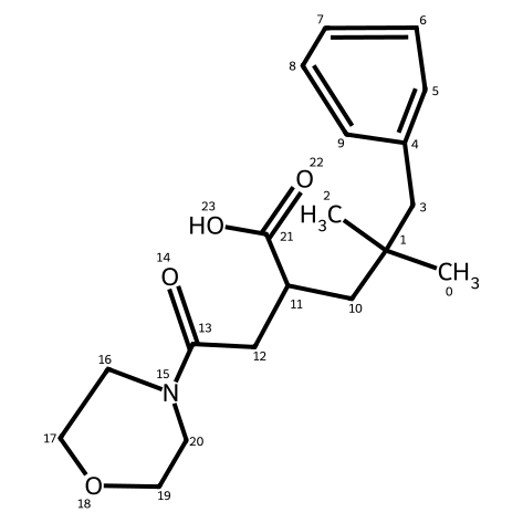 CC(C)(Cc1ccccc1)CC(CC(=O)N1CCOCC1)C(=O)O